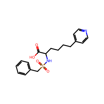 O=C(O)C(CCCCc1ccncc1)NS(=O)(=O)Cc1ccccc1